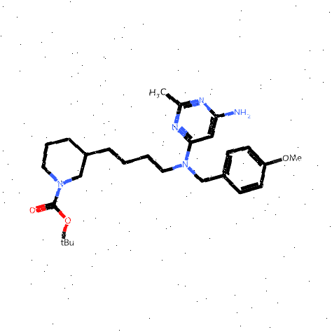 COc1ccc(CN(CCCCC2CCCN(C(=O)OC(C)(C)C)C2)c2cc(N)nc(C)n2)cc1